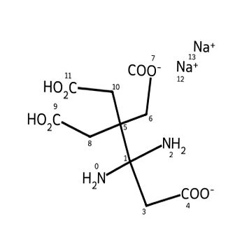 NC(N)(CC(=O)[O-])C(CC(=O)[O-])(CC(=O)O)CC(=O)O.[Na+].[Na+]